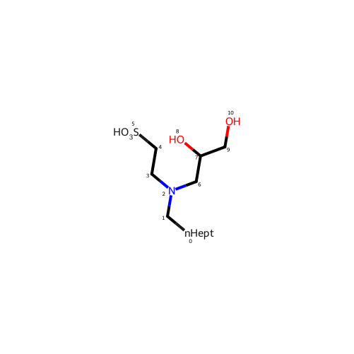 CCCCCCCCN(CCS(=O)(=O)O)CC(O)CO